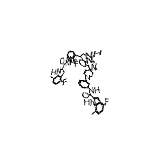 COCC1(N(C)CN2CC(c3cccc(NC(=O)C4Cc5c(F)ccc(C)c5N4)c3)CN2)CCN(c2cccc(NC(=O)c3cc4c(F)ccc(C)c4[nH]3)c2)CC1